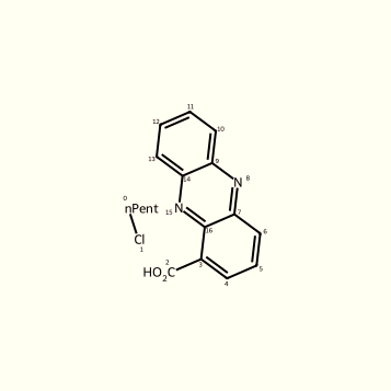 CCCCCCl.O=C(O)c1cccc2nc3ccccc3nc12